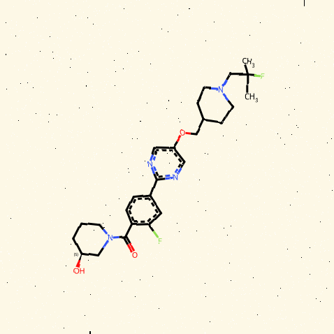 CC(C)(F)CN1CCC(COc2cnc(-c3ccc(C(=O)N4CCC[C@H](O)C4)c(F)c3)nc2)CC1